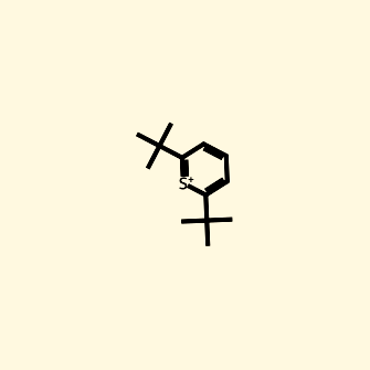 CC(C)(C)c1cccc(C(C)(C)C)[s+]1